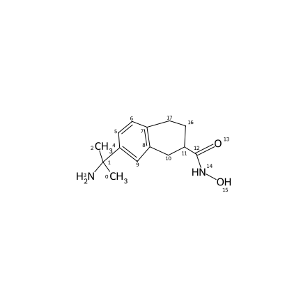 CC(C)(N)c1ccc2c(c1)CC(C(=O)NO)CC2